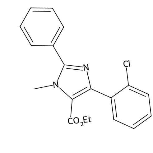 CCOC(=O)c1c(-c2ccccc2Cl)nc(-c2ccccc2)n1C